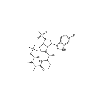 CCC(NC(=O)C(C)N(C)C(=O)OC(C)(C)C)C(=O)N1CCC2C1C(c1c[nH]c3cc(F)ccc13)CN2S(C)(=O)=O